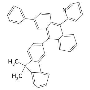 CC1(C)c2ccccc2-c2cc(-c3c4ccccc4c(-c4ccccn4)c4ccc(-c5ccccc5)cc34)ccc21